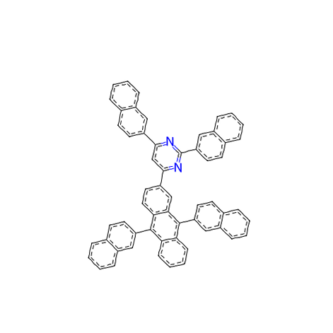 c1ccc2cc(-c3cc(-c4ccc5c(-c6ccc7ccccc7c6)c6ccccc6c(-c6ccc7ccccc7c6)c5c4)nc(-c4ccc5ccccc5c4)n3)ccc2c1